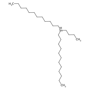 CCCCCCCCCCC[CH2][SnH]([CH2]CCC)[CH2]CCCCCCCCCCC